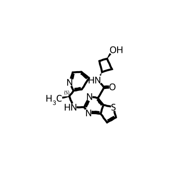 C[C@H](Nc1nc(C(=O)N[C@H]2C[C@H](O)C2)c2sccc2n1)c1ccccn1